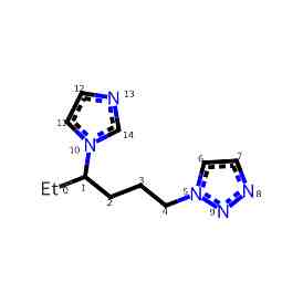 [CH2]CC(CCCn1ccnn1)n1ccnc1